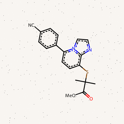 COC(=O)C(C)(C)Sc1ccc(-c2ccc(C#N)cc2)n2ccnc12